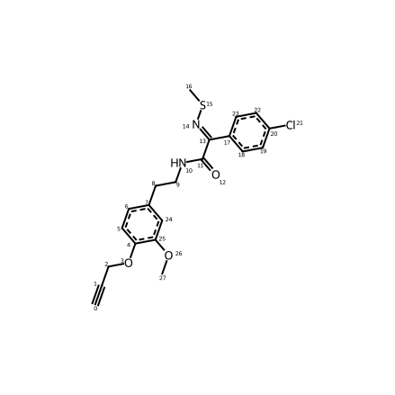 C#CCOc1ccc(CCNC(=O)C(=NSC)c2ccc(Cl)cc2)cc1OC